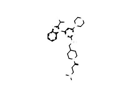 CN(C)CCC(=O)N1CCC(CNc2nc(N3CCOCC3)cc(-n3c(C(F)F)nc4ccccc43)n2)CC1